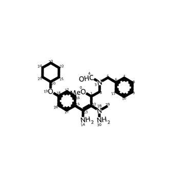 COC(CN(C=O)Cc1ccccc1)/C(=C(/N)c1ccc(OC2CCCCC2)cc1)N(C)N